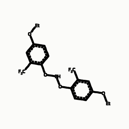 CCOc1ccc(OBOc2ccc(OCC)cc2C(F)(F)F)c(C(F)(F)F)c1